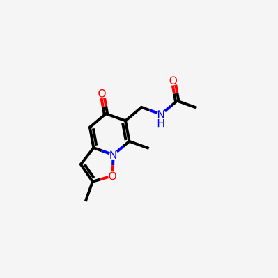 CC(=O)NCc1c(C)n2oc(C)cc2cc1=O